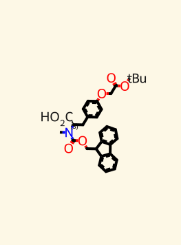 CN(C(=O)OCC1c2ccccc2-c2ccccc21)[C@@H](Cc1ccc(OCC(=O)OC(C)(C)C)cc1)C(=O)O